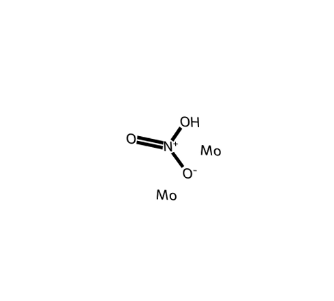 O=[N+]([O-])O.[Mo].[Mo]